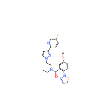 C=Bc1ccc(-n2bccn2)c(C(=O)N(CC)CCn2ccc(-c3ccc(F)cn3)n2)c1